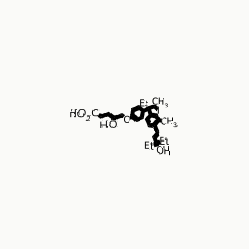 CCC(O)(C=Cc1ccc(C(CC)(c2ccc(OCC(O)CCC(=O)O)cc2)C(C)I)cc1C)CC